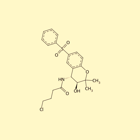 CC1(C)Oc2ccc(S(=O)(=O)c3ccccc3)cc2[C@@H](NC(=O)CCCCl)[C@@H]1O